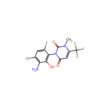 Cn1c(C(F)(F)F)cc(=O)n(-c2c(F)cc(Cl)c(N)c2O)c1=O